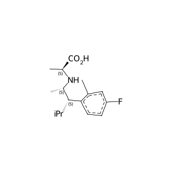 Cc1cc(F)ccc1[C@H](C(C)C)[C@H](C)N[C@@H](C)C(=O)O